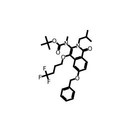 CC(C)Cn1c(N(C)C(=O)OC(C)(C)C)c(OCCCC(F)(F)F)c2cc(OCc3ccccc3)ccc2c1=O